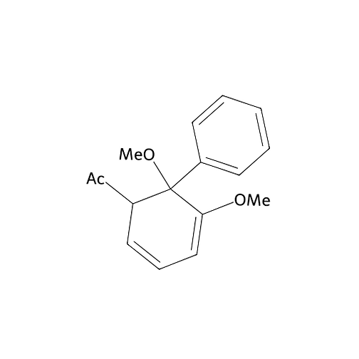 COC1=CC=CC(C(C)=O)C1(OC)c1ccccc1